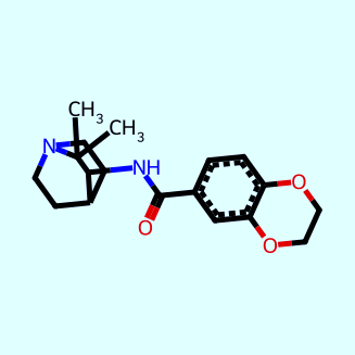 CC1(C)C(NC(=O)c2ccc3c(c2)OCCO3)C2CCN1CC2